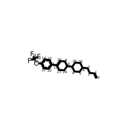 C=CCCC1CCC(C2CC=C(c3ccc(OC(F)(F)F)cc3)CC2)CC1